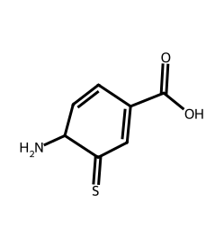 NC1C=CC(C(=O)O)=CC1=S